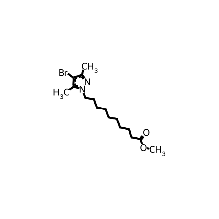 COC(=O)CCCCCCCCCn1nc(C)c(Br)c1C